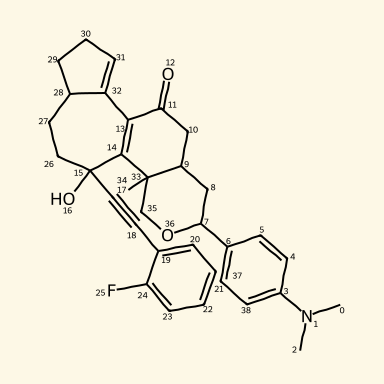 CN(C)c1ccc(C2CC3CC(=O)C4=C(C(O)(C#Cc5ccccc5F)CCC5CCC=C45)C3(C)CO2)cc1